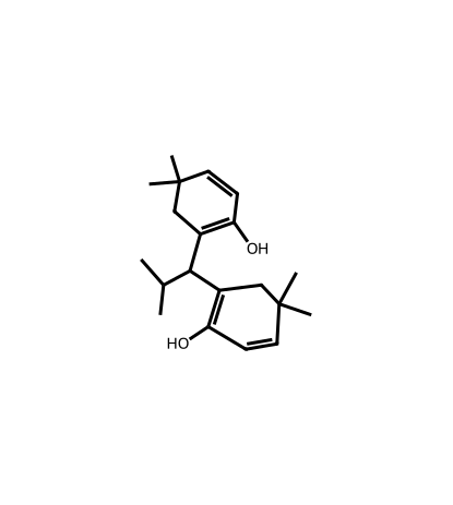 CC(C)C(C1=C(O)C=CC(C)(C)C1)C1=C(O)C=CC(C)(C)C1